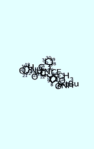 Cc1c(S(=O)(=O)NC(C)(C)C)ccc(-c2cc(C(=O)NC3CCOCC3)c(C)n2CC2CCCCC2)c1C(F)(F)F